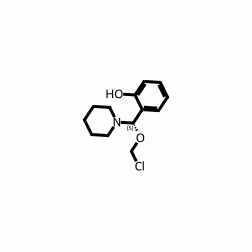 Oc1ccccc1[C@H](OCCl)N1CCCCC1